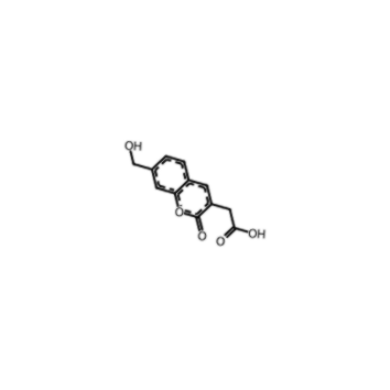 O=C(O)Cc1cc2ccc(CO)cc2oc1=O